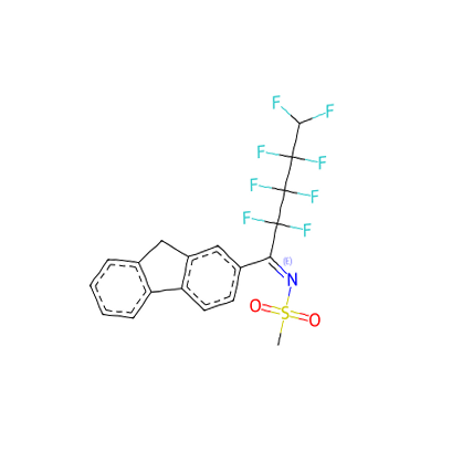 CS(=O)(=O)/N=C(\c1ccc2c(c1)Cc1ccccc1-2)C(F)(F)C(F)(F)C(F)(F)C(F)F